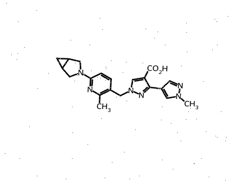 Cc1nc(N2CC3CC3C2)ccc1Cn1cc(C(=O)O)c(-c2cnn(C)c2)n1